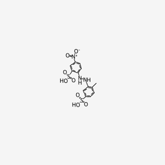 Cc1ccc(S(=O)(=O)O)cc1NNc1ccc([N+](=O)[O-])cc1S(=O)(=O)O